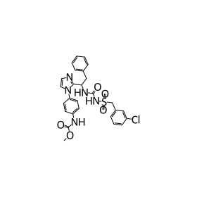 COC(=O)Nc1ccc(-n2ccnc2C(Cc2ccccc2)NC(=O)NS(=O)(=O)Cc2cccc(Cl)c2)cc1